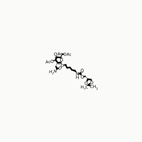 CC(=O)OC[C@H]1O[C@@H](OCCCCCNC(=O)OC[C@@H]2COC(C)(C)O2)[C@H](CC(N)=O)[C@@H](OC(C)=O)[C@H]1OC(C)=O